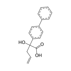 C=CCC(O)(C(=O)O)c1ccc(-c2ccccc2)cc1